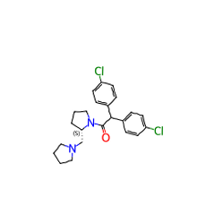 O=C(C(c1ccc(Cl)cc1)c1ccc(Cl)cc1)N1CCC[C@H]1CN1CCCC1